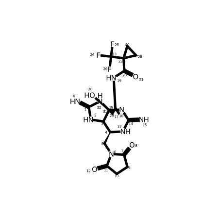 N=C1NC2[C@H](CN3C(=O)CCC3=O)NC(=N)N3CC(NC(=O)C4(C(F)(F)F)CC4)[C@@H](O)C23N1